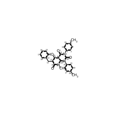 Cc1ccc(-n2c(=O)c3c(O)c(Cc4ccccc4)c(=O)n(C)c3n(-c3ccc(C)cc3)c2=O)cc1